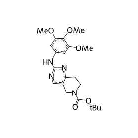 COc1cc(Nc2ncc3c(n2)CCN(C(=O)OC(C)(C)C)C3)cc(OC)c1OC